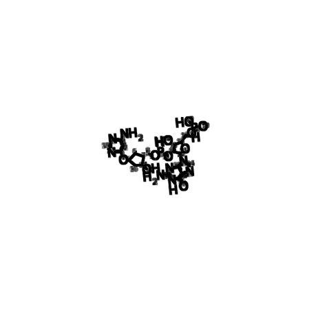 Nc1cc(O[C@@H]2C[C@H](COPO[C@@H]3[C@H](O)[C@@H](CO[PH](=O)O)O[C@H]3n3cnc4c(=O)[nH]c(N)nc43)[C@@H](O)C2)ncn1